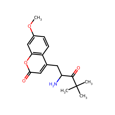 COc1ccc2c(CC(N)C(=O)C(C)(C)C)cc(=O)oc2c1